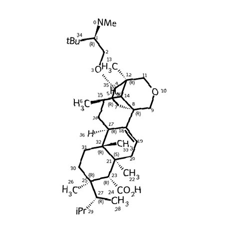 CN[C@@H](CO[C@H]1[C@H](C)C[C@@]23COC[C@@]1(C)[C@@H]2CC[C@H]1C3=CC[C@@]2(C)[C@H](C(=O)O)[C@@](C)([C@H](C)C(C)C)CC[C@]12C)C(C)(C)C